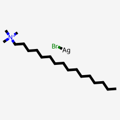 CCCCCCCCCCCCCCCC[N+](C)(C)C.[Br][Ag]